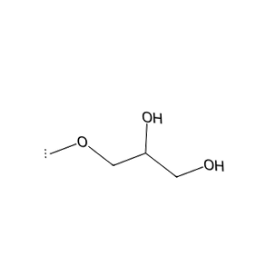 [C]OCC(O)CO